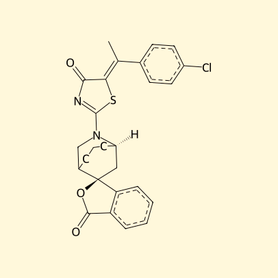 C/C(=C1/SC(N2CC3CCC[C@@H]2C[C@@]32OC(=O)c3ccccc32)=NC1=O)c1ccc(Cl)cc1